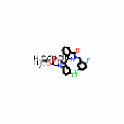 Cc1c(-c2nn(Cc3cc(F)ccc3F)c(=O)c3ccccc23)c2cc(Cl)ccc2n1CC(=O)OC(C)(C)C